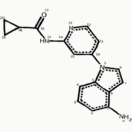 Nc1cccc2c1ccn2-c1ccnc(NC(=O)C2CC2)c1